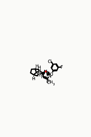 Cc1cc(N2C[C@H]3CC[C@@H](C2)[C@@H]3Nc2nc(Oc3cc(F)cc(Cl)c3)n(C(C)C)n2)ncn1